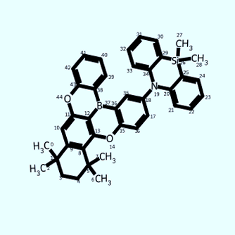 CC1(C)CCC(C)(C)c2c1cc1c3c2Oc2ccc(N4c5ccccc5[Si](C)(C)c5ccccc54)cc2B3c2ccccc2O1